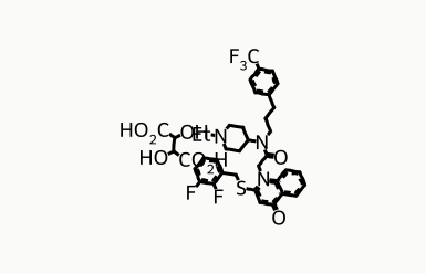 CCN1CCC(N(CCCc2ccc(C(F)(F)F)cc2)C(=O)Cn2c(SCc3cccc(F)c3F)cc(=O)c3ccccc32)CC1.O=C(O)C(O)C(O)C(=O)O